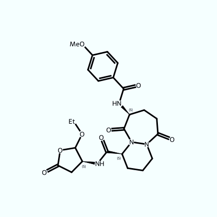 CCOC1OC(=O)C[C@@H]1NC(=O)[C@@H]1CCCN2C(=O)CC[C@H](NC(=O)c3ccc(OC)cc3)C(=O)N12